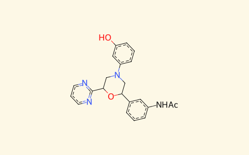 CC(=O)Nc1cccc(C2CN(c3cccc(O)c3)CC(c3ncccn3)O2)c1